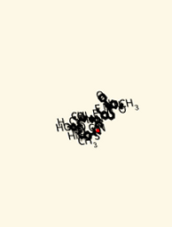 CC(=O)N1CCc2c(c(N3CCCc4cc(N5CC6(CN(c7cc([C@H](C(=O)N8C[C@H](O)C[C@H]8C(=O)N[C@@H](C)c8ccc(-c9scnc9C)cc8)C(C)C)on7)C6)c6ccncc65)c(C(F)F)cc43)nn2C2CCOCC2)C1